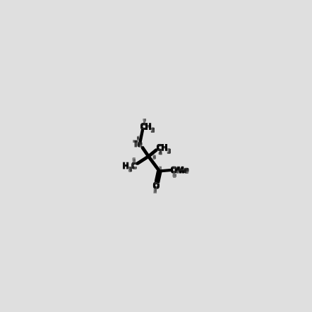 COC(=O)C(C)(C)[Te]C